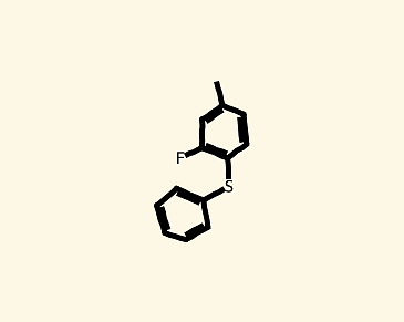 Cc1ccc(Sc2ccccc2)c(F)c1